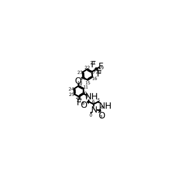 CN1C(=O)NCC1C(=O)Nc1cc(Oc2ccc(C(F)(F)F)cc2)ccc1F